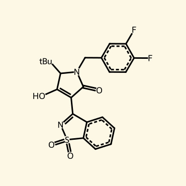 CC(C)(C)C1C(O)=C(C2=NS(=O)(=O)c3ccccc32)C(=O)N1Cc1ccc(F)c(F)c1